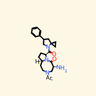 CC(=O)N1CC[C@H]2CC[C@@H](C(=O)N3CC(c4ccccc4)CC34CC4)N2C(=O)[C@@H](N)C1